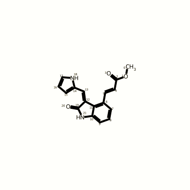 COC(=O)/C=C/c1cccc2c1C(=Cc1ccc[nH]1)C(=O)N2